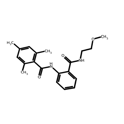 COCCNC(=O)c1ccccc1NC(=O)c1c(C)cc(C)cc1C